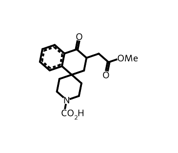 COC(=O)CC1CC2(CCN(C(=O)O)CC2)c2ccccc2C1=O